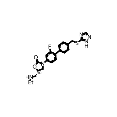 CCNC[C@H]1CN(c2ccc(-c3ccc(CSc4ncn[nH]4)cc3)c(F)c2)C(=O)O1